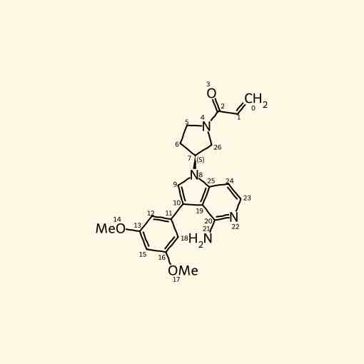 C=CC(=O)N1CC[C@H](n2cc(-c3cc(OC)cc(OC)c3)c3c(N)nccc32)C1